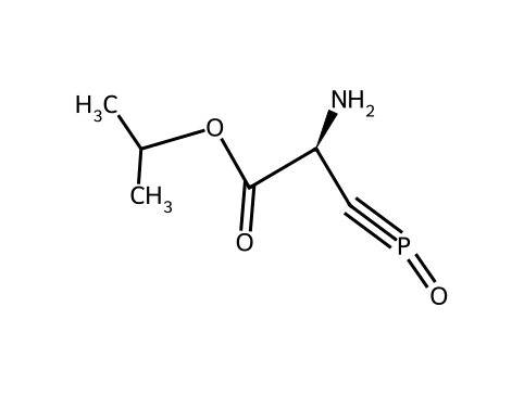 CC(C)OC(=O)[C@@H](N)C#P=O